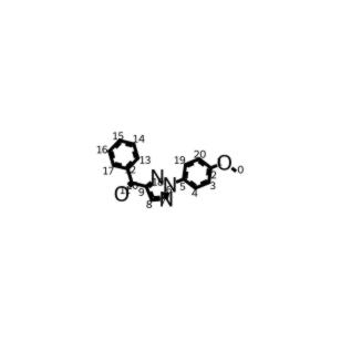 COc1ccc(-n2ncc(C(=O)c3ccccc3)n2)cc1